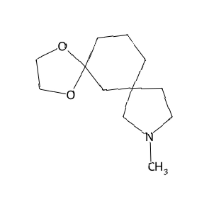 CN1CCC2(CCCC3(C2)OCCO3)C1